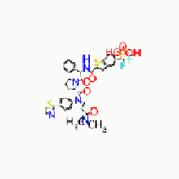 CN(C)C(=O)CCN(C(=O)[C@@H]1CCCN1C(=O)[C@@H](NC(=O)c1cc2cc(C(F)(F)P(=O)(O)O)ccc2s1)c1ccccc1)c1ccc(-c2nccs2)cc1